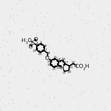 CS(=O)(=O)c1ccc(COc2ccc3c(c2)cc2n3CCC2CC(=O)O)cc1